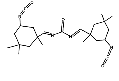 CC1(C)CC(N=C=O)CC(C)(C=NC(=O)N=CC2(C)CC(N=C=O)CC(C)(C)C2)C1